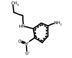 CCCNc1cc(N)ccc1[N+](=O)[O-]